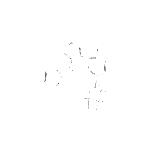 CCc1ccc(B2OC(C)(C)C(C)(C)O2)cc1-c1ccccc1Nc1ccccc1